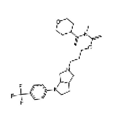 C=C(OCCCN1CC2CCN(c3ccc(C(F)(F)F)cc3)C2C1)N(C)C(=C)C1CCOCC1